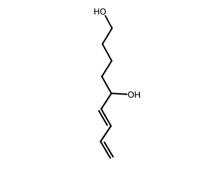 C=CC=CC(O)CCCCO